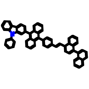 C(=C\c1ccc(-c2cccc3ccccc23)c2ccccc12)/c1ccc(-c2c3ccccc3c(-c3ccc4c5ccccc5n(-c5ccccc5)c4c3)c3ccccc23)cc1